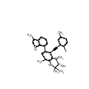 Cc1ccc(F)c(C#Cc2c(-c3cccc4c(C)c[nH]c34)cc(C)c3c2[C@@H](C)[C@H](O)C(C)(C)N3)c1